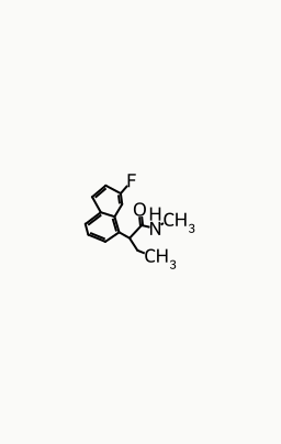 CCC(C(=O)NC)c1cccc2ccc(F)cc12